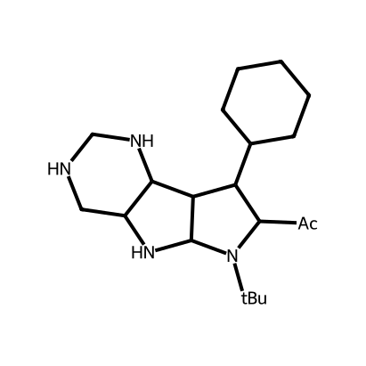 CC(=O)C1C(C2CCCCC2)C2C3NCNCC3NC2N1C(C)(C)C